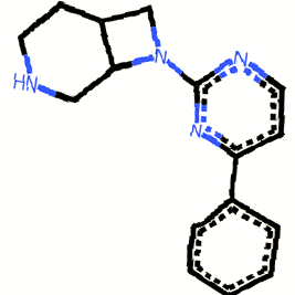 c1ccc(-c2ccnc(N3CC4CCNCC43)n2)cc1